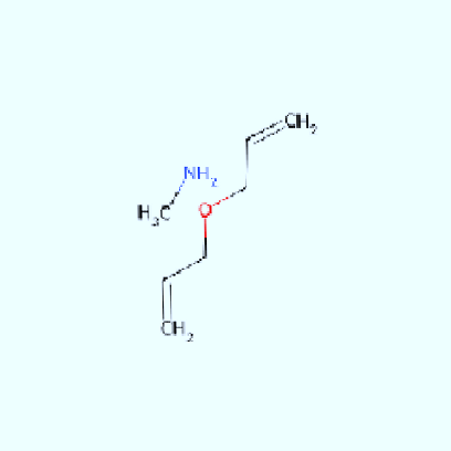 C=CCOCC=C.CN